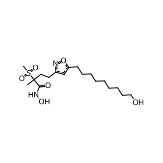 CC(CCc1cc(CCCCCCCCCO)on1)(C(=O)NO)S(C)(=O)=O